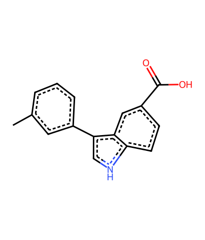 Cc1cccc(-c2c[nH]c3ccc(C(=O)O)cc23)c1